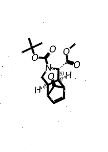 COC(=O)[C@@H]1[C@H]2C3C=CC(C3=O)[C@H]2CN1C(=O)OC(C)(C)C